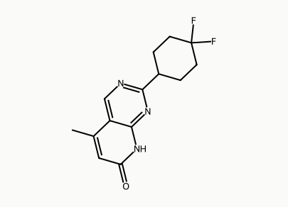 Cc1cc(=O)[nH]c2nc(C3CCC(F)(F)CC3)ncc12